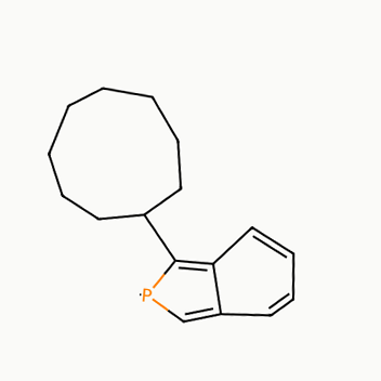 C1=c2ccccc2=C(C2CCCCCCCC2)[P]1